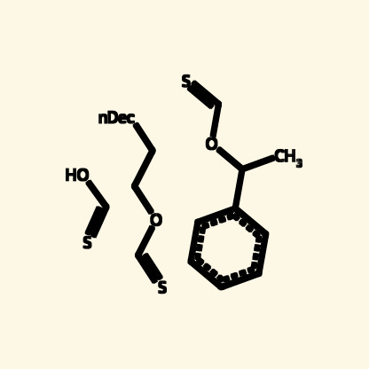 CC(OC=S)c1ccccc1.CCCCCCCCCCCCOC=S.OC=S